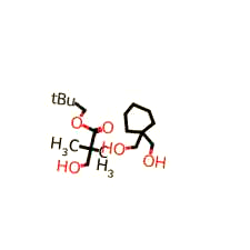 CC(C)(C)COC(=O)C(C)(C)CO.OCC1(CO)CCCCC1